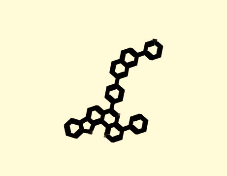 c1ccc(-c2ccnc3c2nc(-c2ccc(-c4ccc5ccc(-c6cccnc6)cc5c4)cc2)c2ccc4c5ccccc5sc4c23)cc1